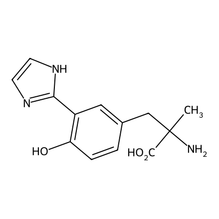 CC(N)(Cc1ccc(O)c(-c2ncc[nH]2)c1)C(=O)O